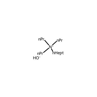 CCCCCCC[N+](CCC)(CCC)CCC.[OH-]